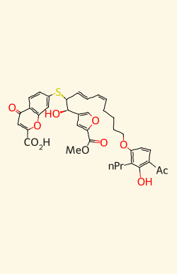 CCCc1c(OCCCC/C=C\C=C\[C@H](Sc2ccc3c(=O)cc(C(=O)O)oc3c2)[C@H](O)c2coc(C(=O)OC)c2)ccc(C(C)=O)c1O